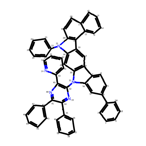 c1ccc(-c2ccc3c4cc5c6c7ccccc7ccc6n(-c6ccccc6)c5cc4n(-c4nc(-c5ccccc5)c(-c5ccccc5)nc4-c4ccccn4)c3c2)cc1